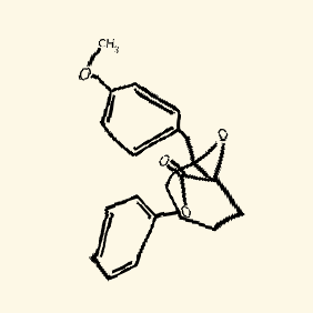 COc1ccc(C23CCCCC2(C(=O)Oc2ccccc2)O3)cc1